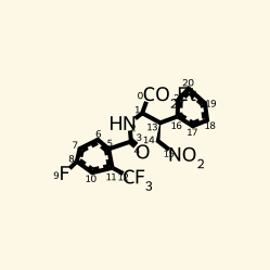 CCOC(=O)C(NC(=O)c1ccc(F)cc1C(F)(F)F)[C@H](C[N+](=O)[O-])c1ccccc1